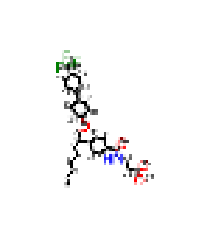 CCCCCCC(COc1ccc(-c2ccc(C(F)(F)F)cc2)cc1)c1ccc(C(=O)NCCC(=O)OC)cc1